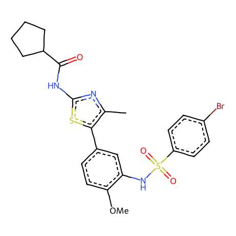 COc1ccc(-c2sc(NC(=O)C3CCCC3)nc2C)cc1NS(=O)(=O)c1ccc(Br)cc1